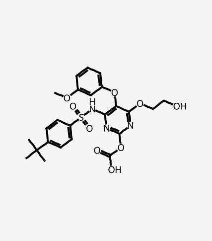 COc1cccc(Oc2c(NS(=O)(=O)c3ccc(C(C)(C)C)cc3)nc(OC(=O)O)nc2OCCO)c1